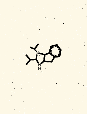 CC(C)C1NC2Cc3ccccc3C2N1C(C)C